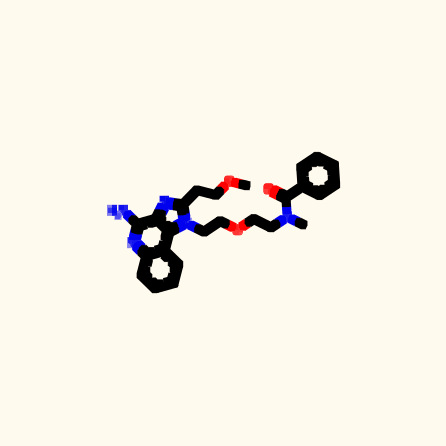 COCCc1nc2c(N)nc3ccccc3c2n1CCOCCN(C)C(=O)c1ccccc1